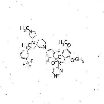 COc1ccc(CN(c2ccncn2)S(=O)(=O)c2c(F)cc(N3CCCC(CCc4cccc(C(F)(F)F)c4)(N(C)C4CCN(C)C4)C3)cc2F)c(OC)c1